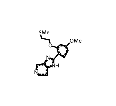 COc1ccc(-c2nc3cnccc3[nH]2)c(OCCSC)c1